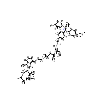 CC/C(=C(\c1ccc(O)cc1)c1ccc(OCCN(C)C(=O)CCOCCSc2cccc3c2CN(C2CCC(=O)NC2=O)C3=O)cc1)c1ccccc1